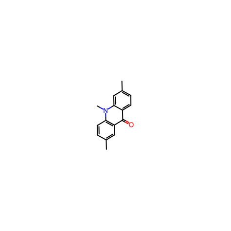 Cc1ccc2c(c1)c(=O)c1ccc(C)cc1n2C